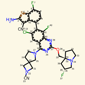 N#Cc1c(N)sc2c(F)ccc(-c3c(Cl)cc4c(N5CCC6(CN(C#N)C6)C5)nc(OC[C@@]56CCCN5C[C@H](F)C6)nc4c3F)c12